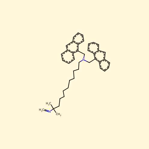 C=NC(C)(C)CCCCCCCCCCN(Cc1c2ccccc2cc2ccccc12)Cc1c2ccccc2cc2ccccc12